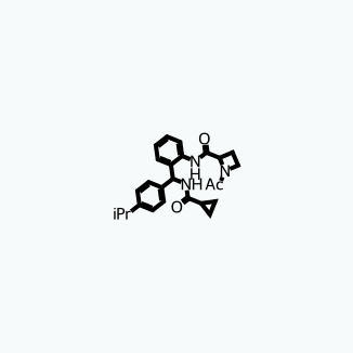 CC(=O)N1CCC1C(=O)Nc1ccccc1C(NC(=O)C1CC1)c1ccc(C(C)C)cc1